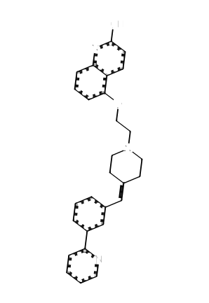 Cc1ccc2c(OCCN3CCC(=Cc4cccc(-c5ccccn5)c4)CC3)cccc2n1